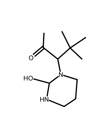 CC(=O)C(N1CCCNC1O)C(C)(C)C